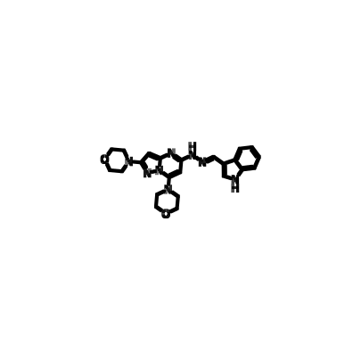 C(=N\Nc1cc(N2CCOCC2)n2nc(N3CCOCC3)cc2n1)/c1c[nH]c2ccccc12